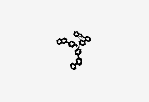 c1ccc(-c2cccc(-c3ccc(N(c4ccc(-c5ccc6ccccc6c5)cc4)c4ccc(-c5ccccc5-c5cc6ccccc6o5)cc4)cc3)c2)cc1